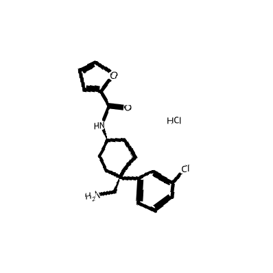 Cl.NC[C@]1(c2cccc(Cl)c2)CC[C@H](NC(=O)c2ccco2)CC1